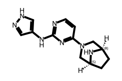 c1cc(N2C[C@H]3CC[C@@H](C2)N3)nc(Nc2cn[nH]c2)n1